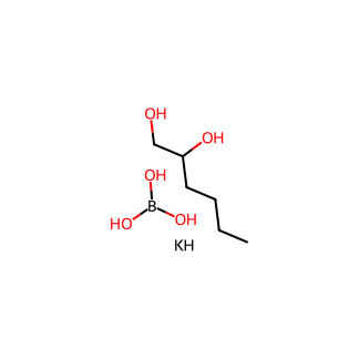 CCCCC(O)CO.OB(O)O.[KH]